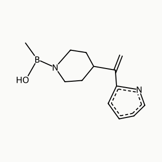 C=C(c1ccccn1)C1CCN(B(C)O)CC1